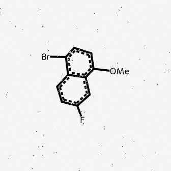 COc1ccc(Br)c2ccc(F)cc12